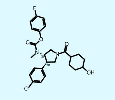 CN(C(=O)Oc1ccc(F)cc1)[C@@H]1CN(C(=O)C2CCC(O)CC2)C[C@H]1c1ccc(Cl)cc1